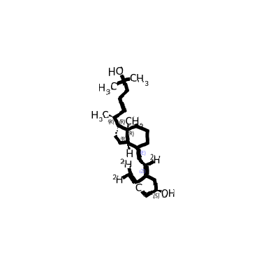 [2H]C([2H])=C1CC[C@H](O)C/C1=C([2H])/C=C1\CCC[C@]2(C)[C@@H]([C@H](C)CCCC(C)(C)O)CC[C@@H]12